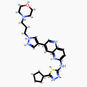 c1nc2ccc(Nc3nnc(C4CCCC4)s3)nc2cc1-c1cnn(CCCN2CCOCC2)c1